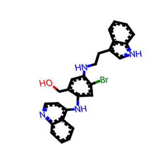 OCc1cc(NCCc2c[nH]c3ccccc23)c(Br)cc1Nc1ccnc2ccccc12